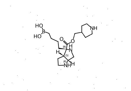 O=C(OCC1CCNCC1)[C@]1(CCCCB(O)O)NC[C@@H]2NCC[C@@H]21